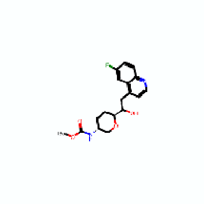 CC(C)(C)OC(=O)N[C@@H]1CC[C@@H](C(O)Cc2ccnc3ccc(F)cc23)OC1